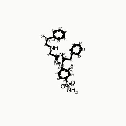 C[C@H](CNCc1nc(Cc2ccccc2)n(-c2ccc(S(N)(=O)=O)cc2F)n1)c1ccccc1